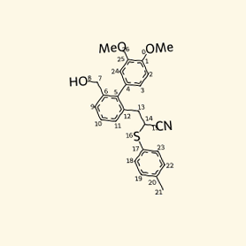 COc1ccc(-c2c(CO)cccc2CC(C#N)Sc2ccc(C)cc2)cc1OC